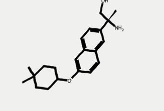 CC1(C)CCC(Oc2ccc3cc([C@@](C)(N)CO)ccc3c2)CC1